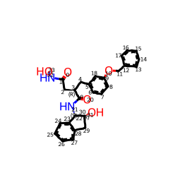 O=C(C[C@@H](Cc1cccc(OCc2ccccc2)c1)C(=O)N[C@H]1c2ccccc2C[C@H]1O)NO